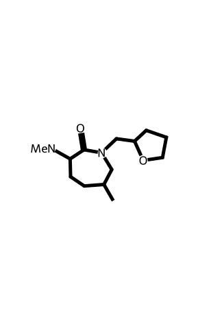 CNC1CCC(C)CN(CC2CCCO2)C1=O